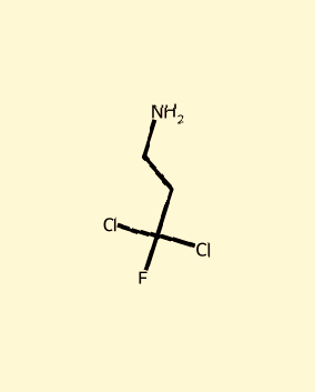 NCCC(F)(Cl)Cl